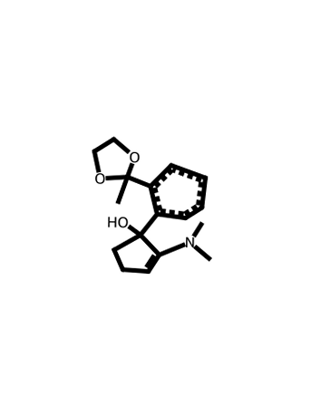 CN(C)C1=CCCC1(O)c1ccccc1C1(C)OCCO1